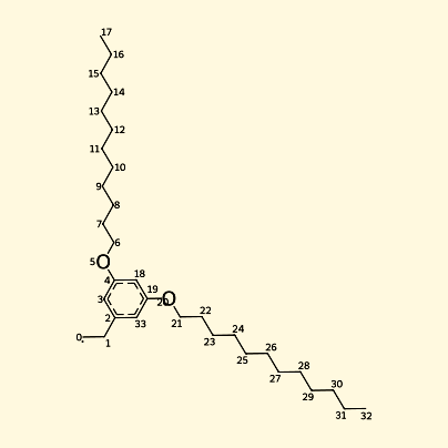 [CH2]Cc1cc(OCCCCCCCCCCCC)cc(OCCCCCCCCCCCC)c1